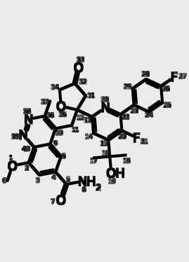 COc1cc(C(N)=O)cc2c(CC3(c4cc(C(C)(C)O)c(F)c(-c5ccc(F)cc5)n4)CC(=O)CO3)c(C)nnc12